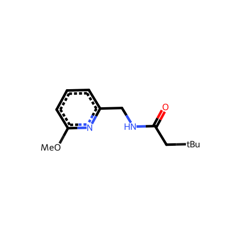 COc1cccc(CNC(=O)CC(C)(C)C)n1